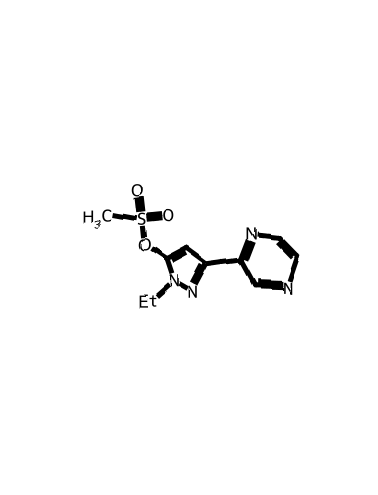 CCn1nc(-c2cnccn2)cc1OS(C)(=O)=O